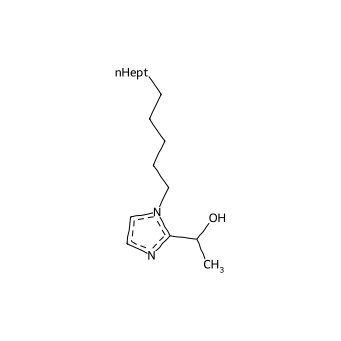 CCCCCCCCCCCCn1ccnc1C(C)O